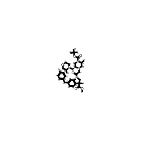 COC(=O)C1(C)CN(C(=O)CN2CC(C)N(C(=O)OC(C)(C)C)C[C@@H]2CN2CCOCC2C)c2cc(Cc3ccc(F)cc3)ccc21